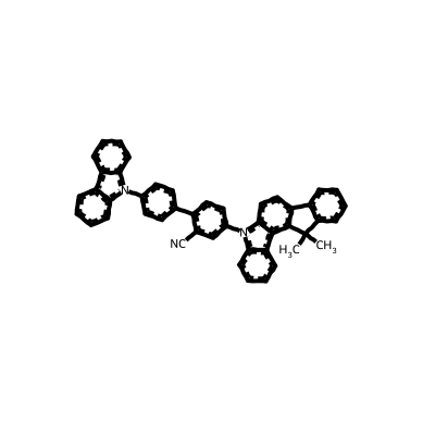 CC1(C)c2ccccc2-c2ccc3c(c21)c1ccccc1n3-c1ccc(-c2ccc(-n3c4ccccc4c4ccccc43)cc2)c(C#N)c1